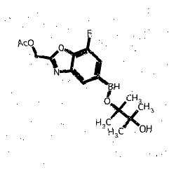 CC(=O)OCc1nc2cc(BOC(C)(C)C(C)(C)O)cc(F)c2o1